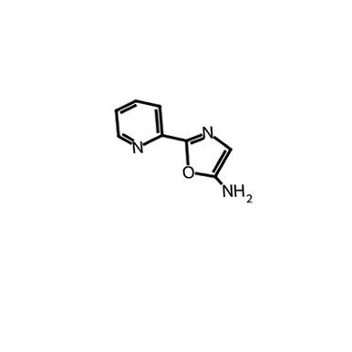 Nc1cnc(-c2ccccn2)o1